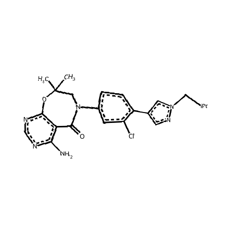 CC(C)Cn1cc(-c2ccc(N3CC(C)(C)Oc4ncnc(N)c4C3=O)cc2Cl)cn1